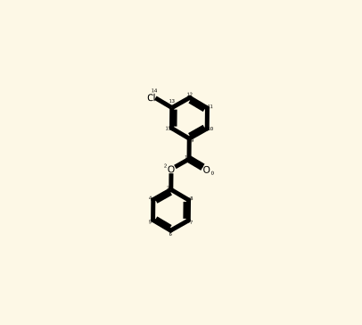 O=C(Oc1ccccc1)c1cccc(Cl)c1